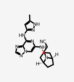 Cc1cc(Nc2nc(N[C@@H]3C[C@H]4CC[C@@H](C3)N4CCC#N)cn3ncnc23)n[nH]1